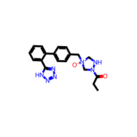 CCC(=O)N1C[N+]([O-])(Cc2ccc(-c3ccccc3-c3nnn[nH]3)cc2)CN1